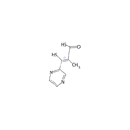 C/C(C(=O)S)=C(/S)c1cnccn1